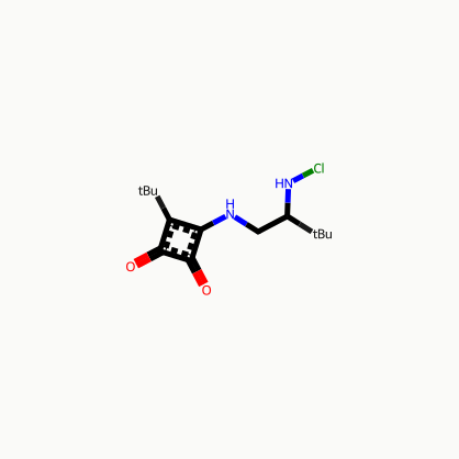 CC(C)(C)c1c(NCC(NCl)C(C)(C)C)c(=O)c1=O